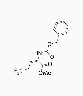 COC(=O)C(=CCC(F)(F)F)NC(=O)OCc1ccccc1